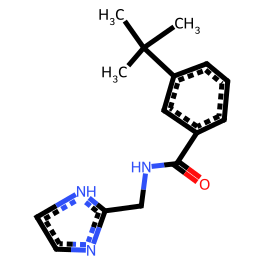 CC(C)(C)c1cccc(C(=O)NCc2ncc[nH]2)c1